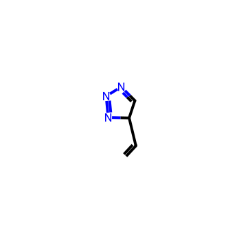 C=CC1C=NN=N1